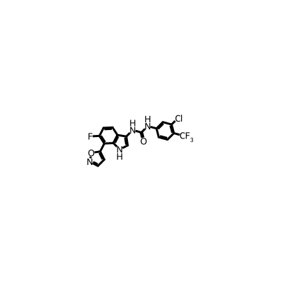 O=C(Nc1ccc(C(F)(F)F)c(Cl)c1)Nc1c[nH]c2c(-c3ccno3)c(F)ccc12